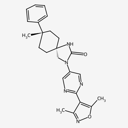 Cc1noc(C)c1-c1ncc(N2C[C@]3(CC[C@@](C)(c4ccccc4)CC3)NC2=O)cn1